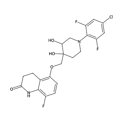 O=C1CCc2c(OCC3(O)CCN(c4c(F)cc(Cl)cc4F)CC3O)ccc(F)c2N1